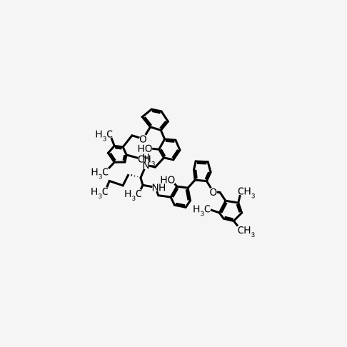 CCCC[C@H](NCc1cccc(-c2ccccc2OCc2c(C)cc(C)cc2C)c1O)C(C)NCc1cccc(-c2ccccc2OCc2c(C)cc(C)cc2C)c1O